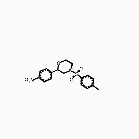 Cc1ccc(S(=O)(=O)N2CCOC(c3ccc([N+](=O)[O-])cc3)C2)cc1